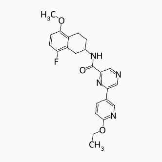 CCOc1ccc(-c2cncc(C(=O)NC3CCc4c(OC)ccc(F)c4C3)n2)cn1